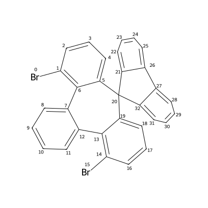 Brc1cccc2c1-c1ccccc1-c1c(Br)cccc1C21c2ccccc2-c2ccccc21